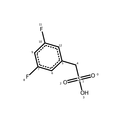 O=S(=O)(O)Cc1cc(F)cc(F)c1